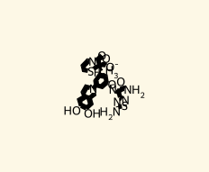 C[C@]1(C(=O)[O-])C(=O)N2C=CCS[C@@H]21.NC(=O)/C(=N\Oc1cccc(-[n+]2ccc3cc(O)c(O)cc3c2)c1)c1nsc(N)n1